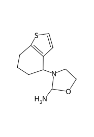 NC1OCCN1C1CCCc2sccc21